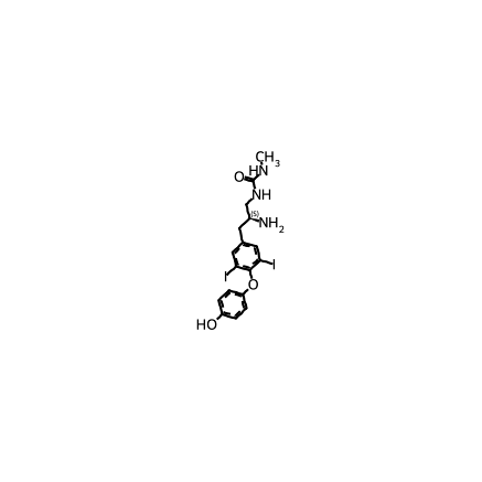 CNC(=O)NC[C@@H](N)Cc1cc(I)c(Oc2ccc(O)cc2)c(I)c1